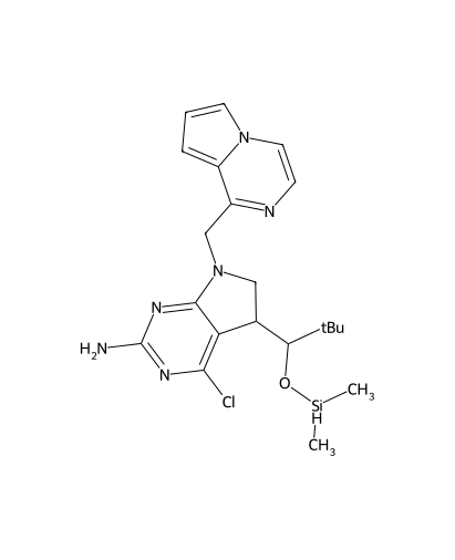 C[SiH](C)OC(C1CN(Cc2nccn3cccc23)c2nc(N)nc(Cl)c21)C(C)(C)C